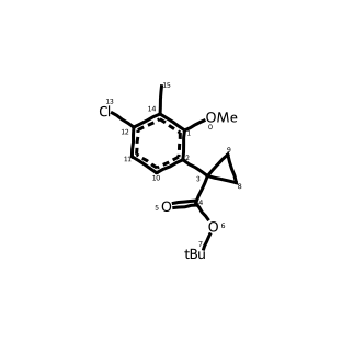 COc1c(C2(C(=O)OC(C)(C)C)CC2)ccc(Cl)c1C